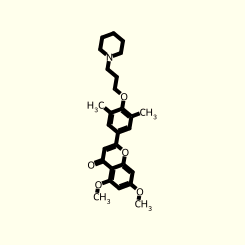 COc1cc(OC)c2c(=O)cc(-c3cc(C)c(OCCCN4CCCCC4)c(C)c3)oc2c1